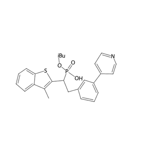 CCC(C)OP(=O)(O)C(Cc1cccc(-c2ccncc2)c1)c1sc2ccccc2c1C